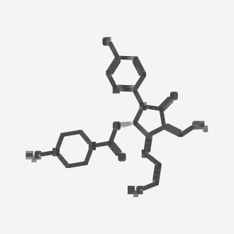 CC=C1C(=O)N(c2ccc(Cl)cn2)[C@@H](OC(=O)N2CCN(C)CC2)/C1=N/C=C\C